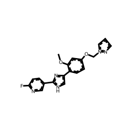 COc1cc(OCn2cccn2)ccc1-c1c[nH]c(-c2ccc(F)nc2)n1